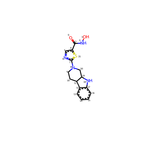 O=C(NO)c1cnc(N2CCC3c4ccccc4NC3C2)s1